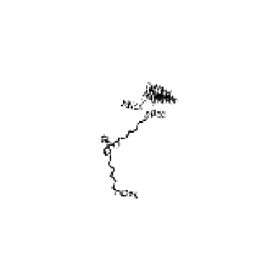 CCCCCCCCCC.CCCCCCCCCC.CCCCCCCCCC.CCCCCCCCCC.CCCCCCCCCC.CCCCCCCCCC.CCCCCCCCCCCCCCCCO[PH](=O)OCCCCCCCCCCCCCCCC